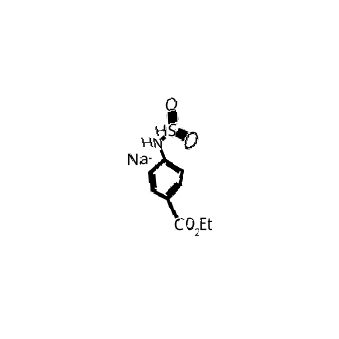 CCOC(=O)c1ccc(N[SH](=O)=O)cc1.[Na]